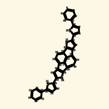 c1ccc(-c2ccc(-c3cc4c(s3)-c3ccc5c6c(ccc-4c36)-c3sc(-c4ccc(-c6ccccc6)s4)cc3-5)s2)cc1